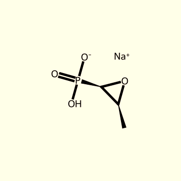 C[C@@H]1O[C@@H]1P(=O)([O-])O.[Na+]